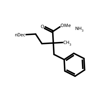 CCCCCCCCCCCCC(C)(Cc1ccccc1)C(=O)OC.N